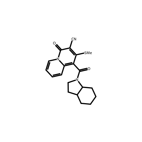 CSc1c(C#N)c(=O)n2ccccc2c1C(=O)N1CCC2CCCCC21